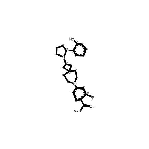 COC(=O)c1ccc(N2CCC3(CC2)CC(N2CCC[C@H]2c2ccccc2C#N)C3)cc1Br